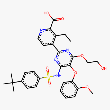 CCc1c(-c2nc(NS(=O)(=O)c3ccc(C(C)(C)C)cc3)c(Oc3ccccc3OC)c(OCCO)n2)ccnc1C(=O)O